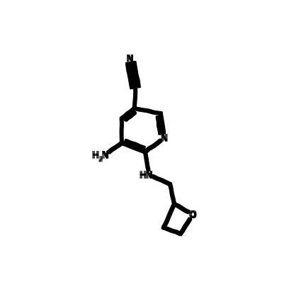 N#Cc1cnc(NCC2CCO2)c(N)c1